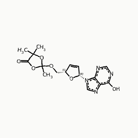 CC1(OC[C@@H]2C=C[C@H](n3cnc4c(O)ncnc43)O2)OC(=O)C(C)(C)O1